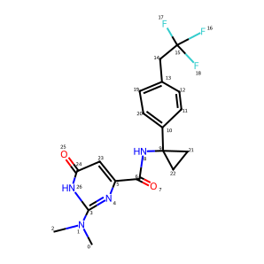 CN(C)c1nc(C(=O)NC2(c3ccc(CC(F)(F)F)cc3)CC2)cc(=O)[nH]1